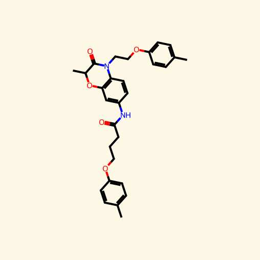 Cc1ccc(OCCCC(=O)Nc2ccc3c(c2)OC(C)C(=O)N3CCOc2ccc(C)cc2)cc1